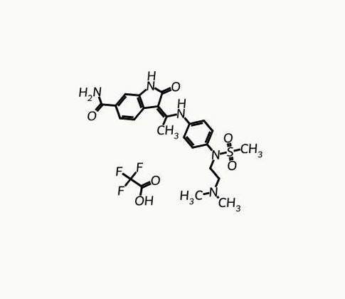 C/C(Nc1ccc(N(CCN(C)C)S(C)(=O)=O)cc1)=C1/C(=O)Nc2cc(C(N)=O)ccc21.O=C(O)C(F)(F)F